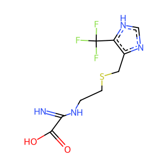 N=C(NCCSCc1nc[nH]c1C(F)(F)F)C(=O)O